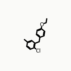 CCOc1ccc(Cc2cc(C)ccc2Cl)cc1